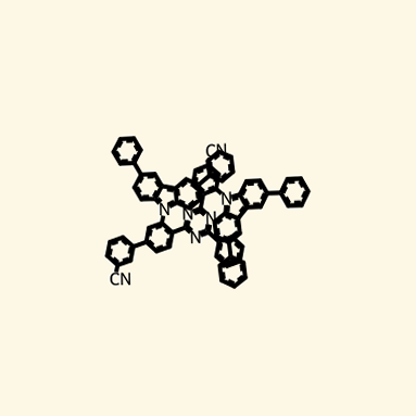 N#Cc1cccc(-c2ccc(-c3nc(-c4ccccc4)nc(-c4ccc(C#N)cc4-n4c5ccc(-c6ccccc6)cc5c5cc(-c6ccccc6)ccc54)n3)c(-n3c4ccc(-c5ccccc5)cc4c4cc(-c5ccccc5)ccc43)c2)c1